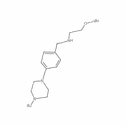 CCCCOCCNCc1ccc(N2CCN(C(C)CC)CC2)cc1